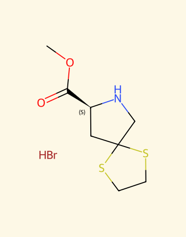 Br.COC(=O)[C@@H]1CC2(CN1)SCCS2